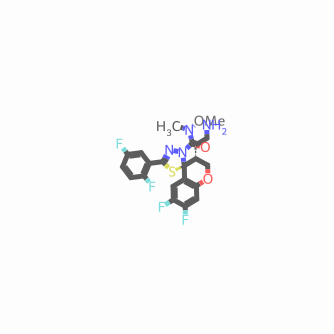 CON(C)C(=O)N1N=C(c2cc(F)ccc2F)S[C@@]12c1cc(F)c(F)cc1OC[C@H]2CCN